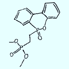 COP(=O)(CCP1(=O)Oc2ccccc2-c2ccccc21)OC